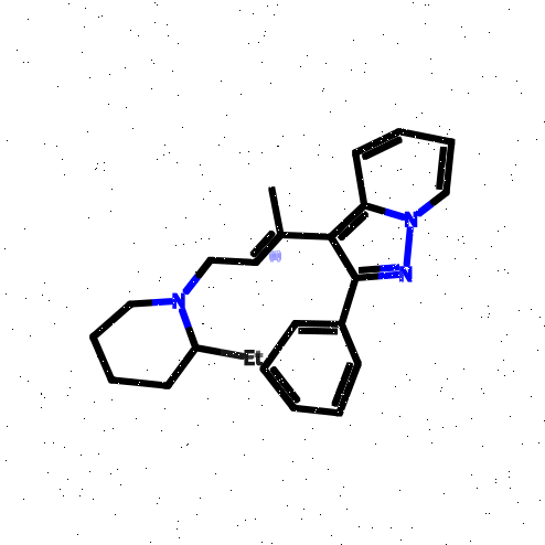 CCC1CCCCN1C/C=C(\C)c1c(-c2ccccc2)nn2ccccc12